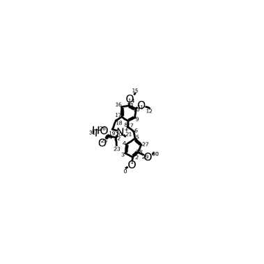 COc1ccc(CC2c3cc(OC)c(OC)cc3CC[N+]2(C)C(C)C(=O)O)cc1OC.[I-]